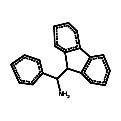 NC(c1ccccc1)C1c2ccccc2-c2ccccc21